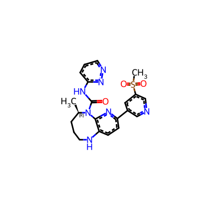 C[C@@H]1CCCNc2ccc(-c3cncc(S(C)(=O)=O)c3)nc2N1C(=O)Nc1cccnn1